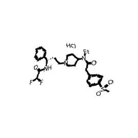 CCN(C(=O)Cc1ccc(S(C)(=O)=O)cc1)C1CCN(CC[C@H](NC(=O)C(F)F)c2ccccc2)CC1.Cl